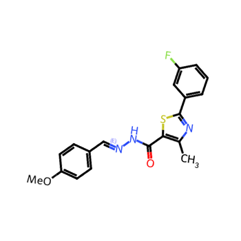 COc1ccc(/C=N/NC(=O)c2sc(-c3cccc(F)c3)nc2C)cc1